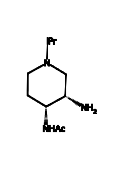 CC(=O)N[C@@H]1CCN(C(C)C)C[C@@H]1N